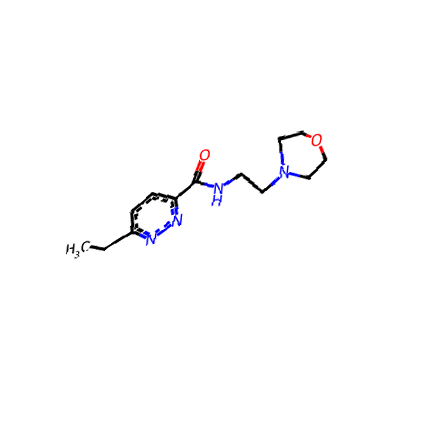 CCc1ccc(C(=O)NCCN2CCOCC2)nn1